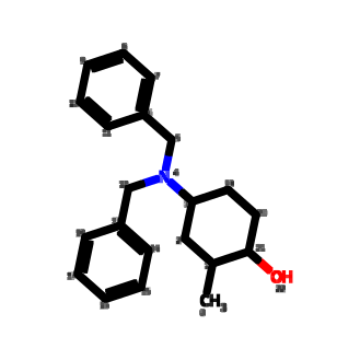 CC1CC(N(Cc2ccccc2)Cc2ccccc2)CCC1O